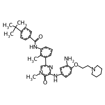 Cc1c(NC(=O)c2ccc(C(C)(C)C)cc2)cccc1-c1cn(C)c(=O)c(Nc2ccc(OCCN3CCCCC3)c(N)c2)n1